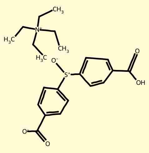 CC[N+](CC)(CC)CC.O=C([O-])c1ccc([S+]([O-])c2ccc(C(=O)O)cc2)cc1